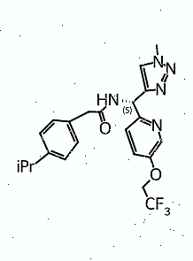 CC(C)c1ccc(CC(=O)N[C@@H](c2ccc(OCC(F)(F)F)cn2)c2cn(C)nn2)cc1